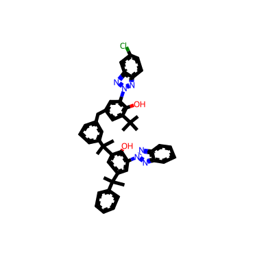 CC(C)(C)c1cc(Cc2cccc(C(C)(C)c3cc(C(C)(C)c4ccccc4)cc(-n4nc5ccccc5n4)c3O)c2)cc(-n2nc3ccc(Cl)cc3n2)c1O